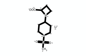 CS(=O)(=O)N1CCC(N2CCC2C(=O)[O-])CC1.[Li+]